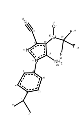 CC(C)c1ccc(-n2nc(C#N)c([S+]([O-])C(F)(F)F)c2N)cc1